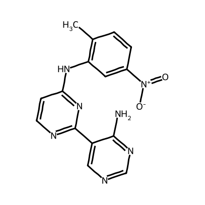 Cc1ccc([N+](=O)[O-])cc1Nc1ccnc(-c2cncnc2N)n1